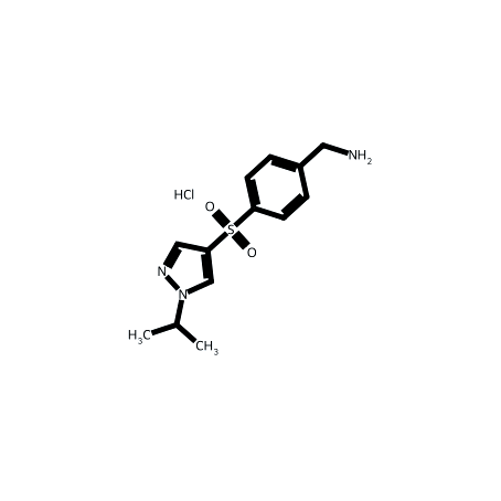 CC(C)n1cc(S(=O)(=O)c2ccc(CN)cc2)cn1.Cl